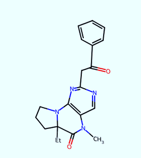 CCC12CCCN1c1nc(CC(=O)c3ccccc3)ncc1N(C)C2=O